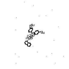 CC(C)(C)c1ccc([I+](OS(=O)(=O)C(F)(F)Cc2cccc3ccccc23)c2ccc(C(C)(C)C)cc2)cc1